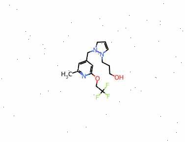 Cc1cc(CN2CC=CN2CCCO)cc(OCC(F)(F)F)n1